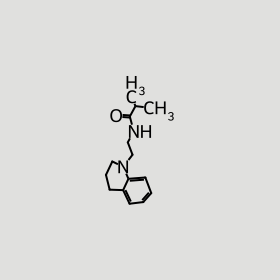 CC(C)C(=O)NCCN1CCCc2ccccc21